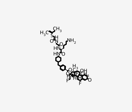 C/C=C(/CC)SCC(=O)NCC(=O)N[C@@H](CCCCN)C(=O)NC1CCC(Cc2ccc([C@@H]3O[C@@H]4C[C@H]5[C@@H]6C[C@H](F)C7=CC(=O)C=C[C@]7(C)[C@@]6(F)[C@@H](O)C[C@]5(C)[C@]4(C(=O)SCF)O3)cc2)CC1